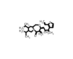 C=Cc1sccc1C(=C)C(=C)/C=C1/OCC2CC(C(C)C)C(C(C)C)CN2C(=O)/C1=C/C